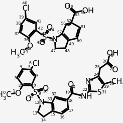 COc1ccc(Cl)cc1S(=O)(=O)N1CCc2ccc(C(=O)Nc3nc(CC(=O)O)c(C)s3)cc21.COc1ccc(Cl)cc1S(=O)(=O)N1CCc2ccc(C(=O)O)cc21